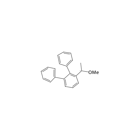 CO[C](C)c1cccc(-c2ccccc2)c1-c1ccccc1